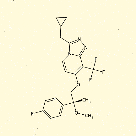 CO[C@@](C)(COc1ccn2c(CC3CC3)nnc2c1C(F)(F)F)c1ccc(F)cc1